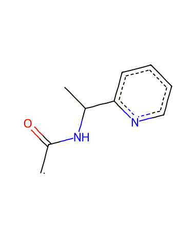 [CH2]C(=O)NC(C)c1ccccn1